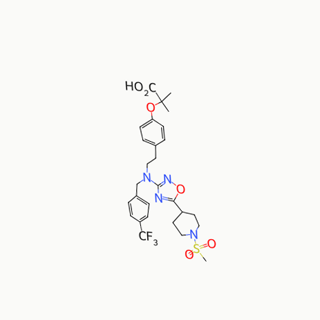 CC(C)(Oc1ccc(CCN(Cc2ccc(C(F)(F)F)cc2)c2noc(C3CCN(S(C)(=O)=O)CC3)n2)cc1)C(=O)O